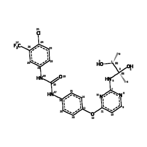 C[C@@H](O)[C@@](C)(O)Nc1nccc(Oc2ccc(NC(=O)Nc3ccc(Cl)c(C(F)(F)F)c3)cc2)n1